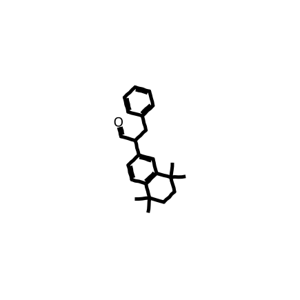 CC1(C)CCC(C)(C)c2cc(C(C=O)Cc3ccccc3)ccc21